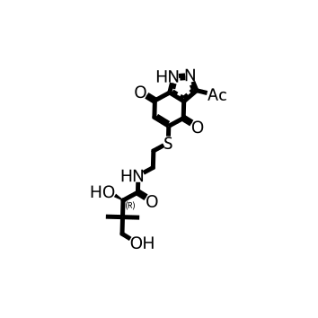 CC(=O)c1n[nH]c2c1C(=O)C(SCCNC(=O)[C@H](O)C(C)(C)CO)=CC2=O